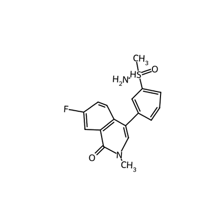 Cn1cc(-c2cccc([SH](C)(N)=O)c2)c2ccc(F)cc2c1=O